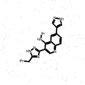 CC(C)Cc1nc(-c2cnc3ccc(-c4cn[nH]c4)cc3c2NC(C)C)n[nH]1